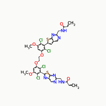 C=CC(=O)NCc1ncc2cc(-c3c(Cl)c(OC)cc(OCCOc4cc(OC)c(Cl)c(-c5nc6cnc(CNC(=O)C=C)nc6s5)c4Cl)c3Cl)sc2n1